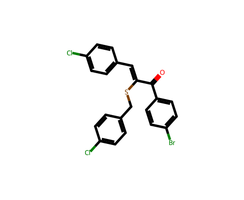 O=C(C(=Cc1ccc(Cl)cc1)SCc1ccc(Cl)cc1)c1ccc(Br)cc1